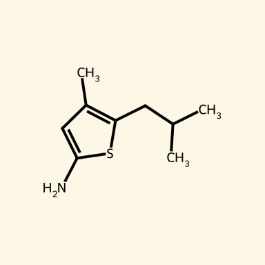 Cc1cc(N)sc1CC(C)C